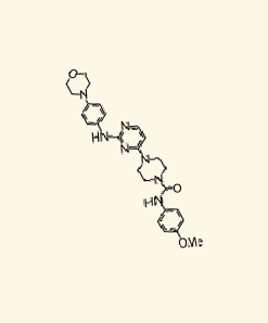 COc1ccc(NC(=O)N2CCN(c3ccnc(Nc4ccc(N5CCOCC5)cc4)n3)CC2)cc1